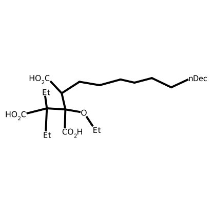 CCCCCCCCCCCCCCCCC(C(=O)O)C(OCC)(C(=O)O)C(CC)(CC)C(=O)O